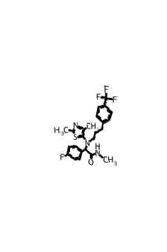 CNC(=O)C(c1ccc(F)cc1)N(CCCc1ccc(C(F)(F)F)cc1)c1sc(C)nc1C